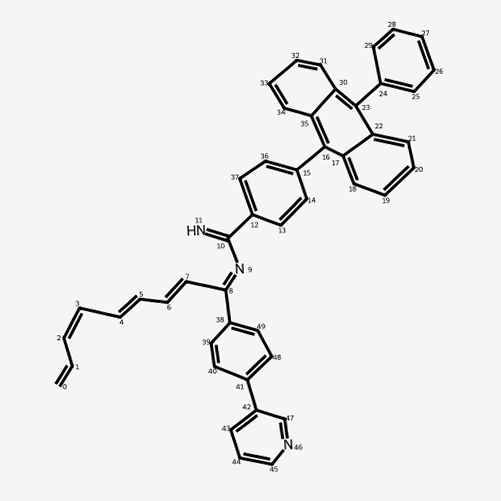 C=C\C=C/C=C/C=C/C(=N\C(=N)c1ccc(-c2c3ccccc3c(-c3ccccc3)c3ccccc23)cc1)c1ccc(-c2cccnc2)cc1